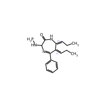 CC/C=C1/NC(=O)C(NP)N=C(c2ccccc2)/C1=C/CC